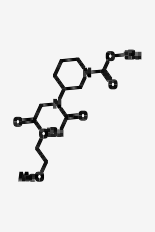 COCCOC(=O)CN(C(=O)C(C)(C)C)C1CCCN(C(=O)OC(C)(C)C)C1